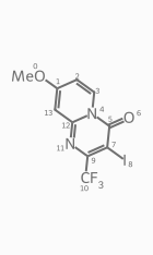 COc1ccn2c(=O)c(I)c(C(F)(F)F)nc2c1